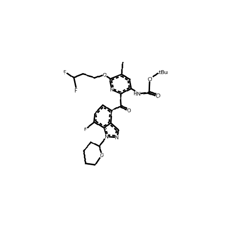 Cc1cc(NC(=O)OC(C)(C)C)c(C(=O)c2ccc(F)c3c2cnn3C2CCCCO2)nc1OCCC(F)F